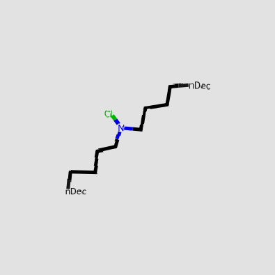 CCCCCCCCCCCCCCN(Cl)CCCCCCCCCCCCCC